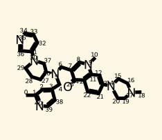 Cc1cc(CN(Cc2cn(C)c3cc(N4CCN(C)CC4)ccc3c2=O)[C@H]2CCCN(c3cccnc3)C2)ccn1